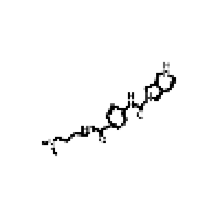 CN(C)CCCCNC(=O)c1ccc(NC(=O)N2C=C3C=CNC=C3C2)cc1